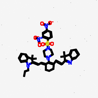 CCCN1/C(=C/C=C2\CCCC(/C=C/C3=Nc4ccccc4C3(C)C)=C2N2CCN(S(=O)(=O)c3ccc([N+](=O)[O-])cc3[N+](=O)[O-])CC2)C(C)(C)c2ccccc21